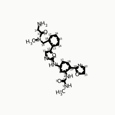 CNC(=O)Nc1cc(Nc2ncc(-c3ccccc3CN(C)C(=O)CN)o2)ccc1-c1ncco1